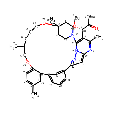 COC(=O)[C@@H](OC(C)(C)C)c1c(C)nc2cc3nn2c1N1CCC(C)(CC1)OCCCC(C)COc1ccc(C)cc1-c1cccc-3c1